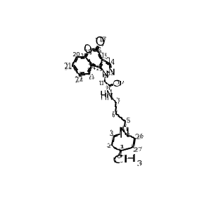 CC1CCN(CCCNC(=O)Cn2ncc3c(=O)oc4ccccc4c32)CC1